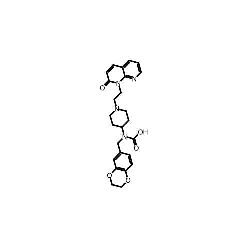 O=C(O)N(Cc1ccc2c(c1)OCCO2)C1CCN(CCn2c(=O)ccc3cccnc32)CC1